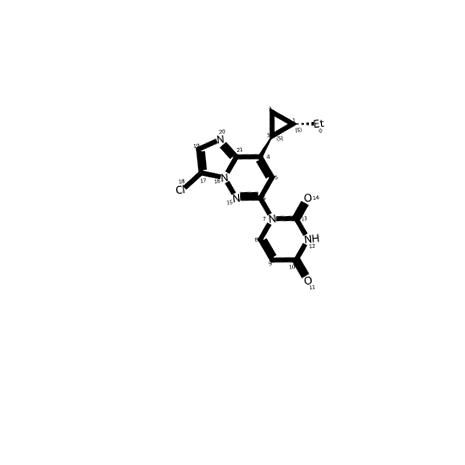 CC[C@H]1C[C@@H]1c1cc(-n2ccc(=O)[nH]c2=O)nn2c(Cl)cnc12